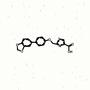 O=C(O)c1csc(COc2ccc(-c3ccc4c(c3)OCO4)cc2)n1